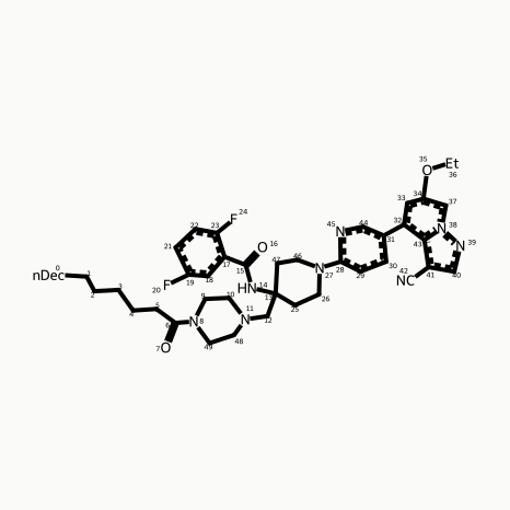 CCCCCCCCCCCCCCCC(=O)N1CCN(CC2(NC(=O)c3cc(F)ccc3F)CCN(c3ccc(-c4cc(OCC)cn5ncc(C#N)c45)cn3)CC2)CC1